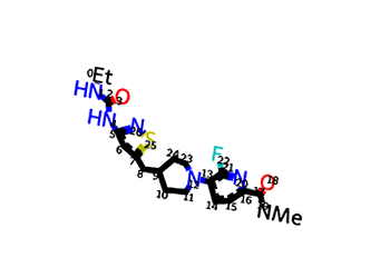 CCNC(=O)Nc1cc(CC2CCN(c3ccc(C(=O)NC)nc3F)CC2)sn1